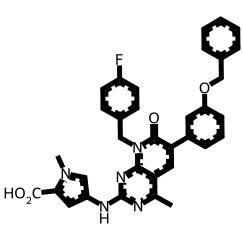 Cc1nc(Nc2cc(C(=O)O)n(C)c2)nc2c1cc(-c1cccc(OCc3ccccc3)c1)c(=O)n2Cc1ccc(F)cc1